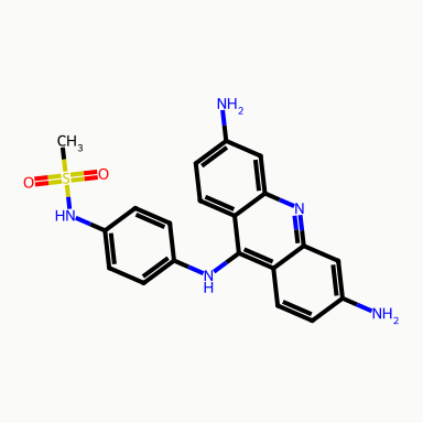 CS(=O)(=O)Nc1ccc(Nc2c3ccc(N)cc3nc3cc(N)ccc23)cc1